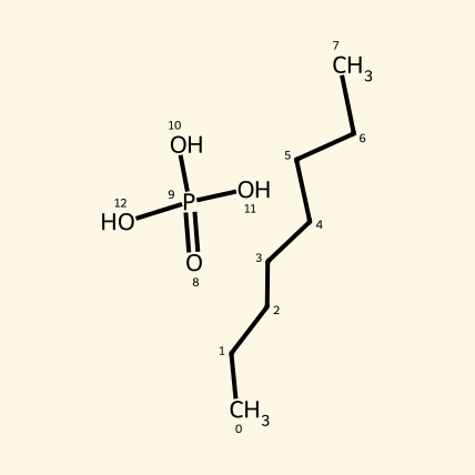 CCCCCCCC.O=P(O)(O)O